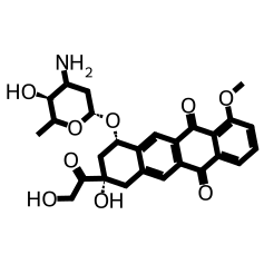 COc1cccc2c1C(=O)c1cc3c(cc1C2=O)C[C@@](O)(C(=O)CO)C[C@@H]3O[C@H]1CC(N)[C@H](O)C(C)O1